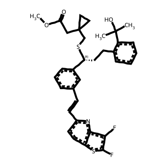 COC(=O)CC1(CS[C@H](CCc2ccccc2C(C)(C)O)c2cccc(C=Cc3ccc4sc(F)c(F)c4n3)c2)CC1